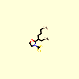 CCCCC(CC)C1OCCN1C(=S)S